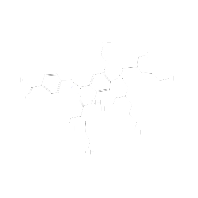 CCCCC(CC)CN(CC(CC)CCCC)c1cc(NC(=O)C(CC)CCCC)c(/N=N/c2ccc(C(=O)O)cc2)cc1OCC